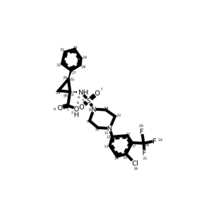 O=C(O)[C@@]1(NS(=O)(=O)N2CCN(c3ccc(Cl)c(C(F)(F)F)c3)CC2)C[C@H]1c1ccccc1